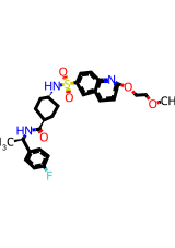 COCCOc1ccc2cc(S(=O)(=O)N[C@H]3CC[C@H](C(=O)N[C@H](C)c4ccc(F)cc4)CC3)ccc2n1